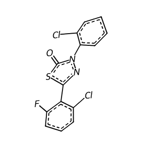 O=c1sc(-c2c(F)cccc2Cl)nn1-c1ccccc1Cl